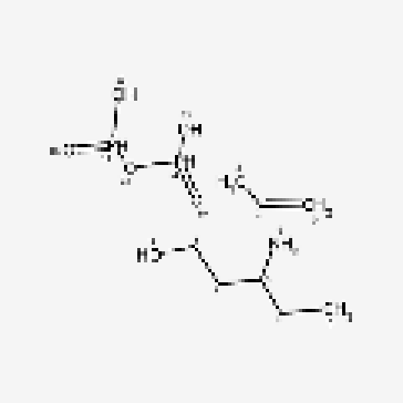 C=CC.CCC(N)CCO.O=[PH](O)O[PH](=O)O